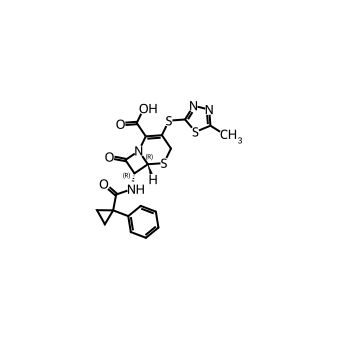 Cc1nnc(SC2=C(C(=O)O)N3C(=O)[C@@H](NC(=O)C4(c5ccccc5)CC4)[C@H]3SC2)s1